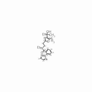 CCN(CCc1nc(C(C)(O)CC)c(C)o1)C(=O)c1ccccc1-n1nccn1